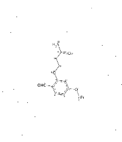 CCCOc1ccc(C=O)c(OCCC(N)=O)c1